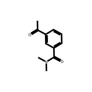 CC(=O)c1cccc(C(=O)N(C)C)c1